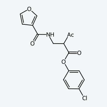 CC(=O)C(CNC(=O)c1ccoc1)C(=O)Oc1ccc(Cl)cc1